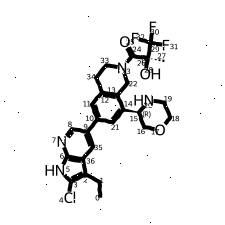 CCc1c(Cl)[nH]c2ncc(-c3cc4c(c([C@@H]5COCCN5)c3)CN(C(=O)[C@](C)(O)C(F)(F)F)CC4)cc12